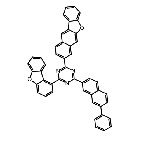 c1ccc(-c2ccc3ccc(-c4nc(-c5ccc6cc7c(cc6c5)oc5ccccc57)nc(-c5cccc6oc7ccccc7c56)n4)cc3c2)cc1